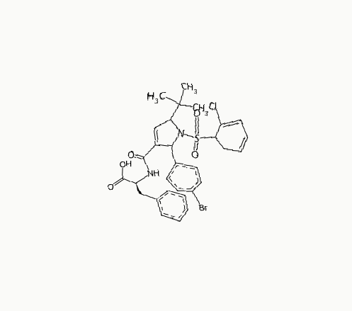 CC(C)(C)C1C=C(C(=O)N[C@@H](Cc2ccccc2)C(=O)O)C(c2ccc(Br)cc2)N1S(=O)(=O)C1CC=CC=C1Cl